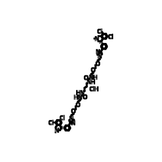 CN1Cc2c(Cl)cc(Cl)cc2[C@H](c2cccc(-c3cn(CCOCCOCCNC(=O)NCCCCNC(=O)NCCOCCOCCn4cnc(-c5cccc([C@@H]6CN(C)Cc7c(Cl)cc(Cl)cc76)c5)c4)cn3)c2)C1.Cl